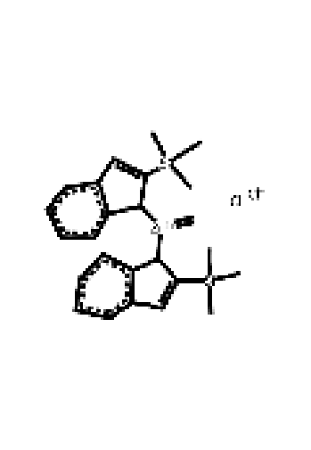 [CH2]=[Zr+2]([CH]1C([Si](C)(C)C)=Cc2ccccc21)[CH]1C([Si](C)(C)C)=Cc2ccccc21.[Cl-].[Cl-]